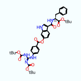 CC(C)(C)OC(=O)/N=C(/NC(=O)OC(C)(C)C)Nc1ccc(C(=O)Oc2ccc3c(C(=O)N[C@@H](Cc4ccccc4)C(=O)OC(C)(C)C)c[nH]c3c2)cc1